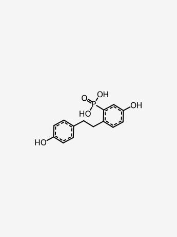 O=P(O)(O)c1cc(O)ccc1CCc1ccc(O)cc1